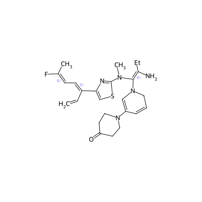 C=C/C(=C\C=C(/C)F)c1csc(N(C)/C(=C(/N)CC)N2C=C(N3CCC(=O)CC3)C=CC2)n1